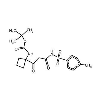 Cc1ccc(S(=O)(=O)NC(=O)CC(=O)C2(NC(=O)OC(C)(C)C)CCC2)cc1